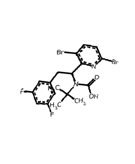 CC(C)(C)N(C(=O)O)C(Cc1cc(F)cc(F)c1)c1nc(Br)ccc1Br